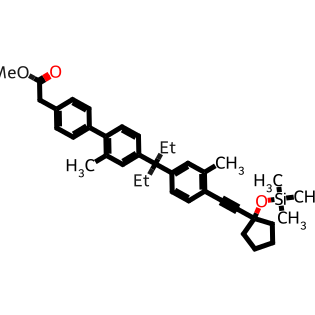 CCC(CC)(c1ccc(C#CC2(O[Si](C)(C)C)CCCC2)c(C)c1)c1ccc(-c2ccc(CC(=O)OC)cc2)c(C)c1